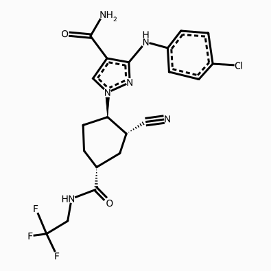 N#C[C@@H]1C[C@H](C(=O)NCC(F)(F)F)CC[C@H]1n1cc(C(N)=O)c(Nc2ccc(Cl)cc2)n1